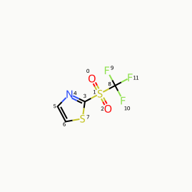 O=S(=O)(c1nccs1)C(F)(F)F